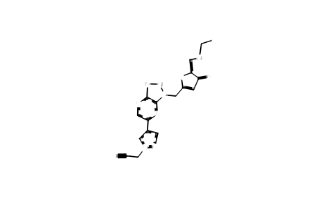 CCN/C=C1/SC(CN2NNc3ncc(-c4cnn(CC#N)c4)nc32)=CC1=N